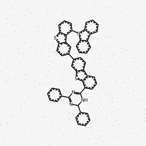 c1ccc(C2=NC(c3ccccc3)NC(c3cccc4c3sc3cc(-c5ccc6sc7cccc(-n8c9ccccc9c9ccccc98)c7c6c5)ccc34)=N2)cc1